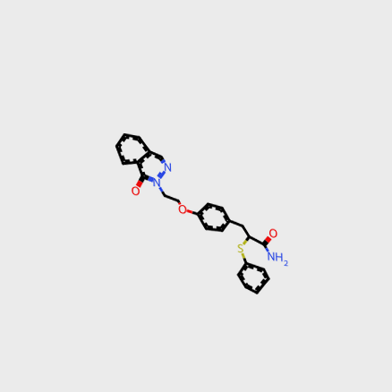 NC(=O)C(Cc1ccc(OCCn2ncc3ccccc3c2=O)cc1)Sc1ccccc1